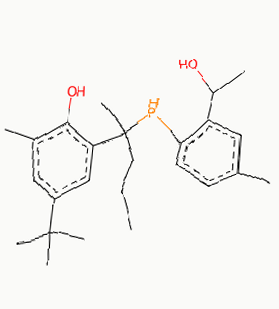 CCCC(C)(Pc1ccc(C)cc1C(C)O)c1cc(C(C)(C)C)cc(C)c1O